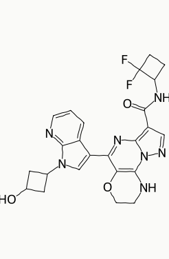 O=C(NC1CCC1(F)F)c1cnn2c3c(c(-c4cn(C5CC(O)C5)c5ncccc45)nc12)OCCN3